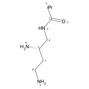 CC(C)C(=O)NC[C@@H](N)CCN